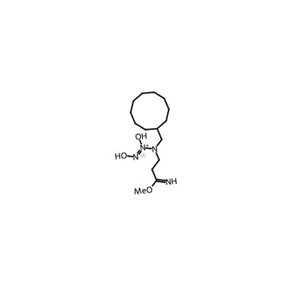 COC(=N)CCN(CC1CCCCCCCCC1)/[N+](O)=N/O